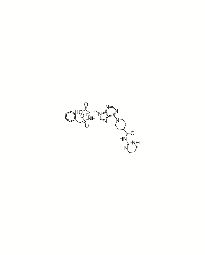 O=C(NC1=NCCCN1)C1CCN(c2ncnc3c2ncn3C[C@H](NS(=O)(=O)Cc2ccccc2)C(=O)O)CC1